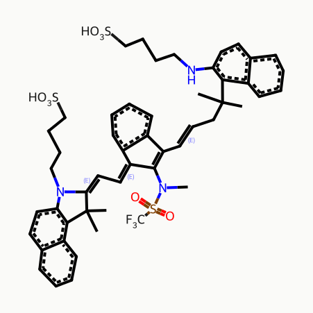 CN(C1=C(/C=C/CC(C)(C)c2c(NCCCCS(=O)(=O)O)ccc3ccccc23)c2ccccc2/C1=C\C=C1\N(CCCCS(=O)(=O)O)c2ccc3ccccc3c2C1(C)C)S(=O)(=O)C(F)(F)F